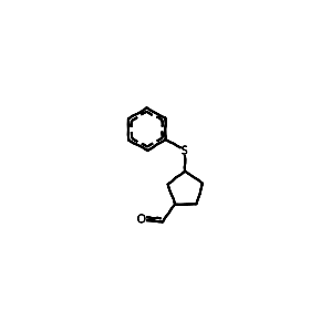 O=CC1CCC(Sc2ccccc2)C1